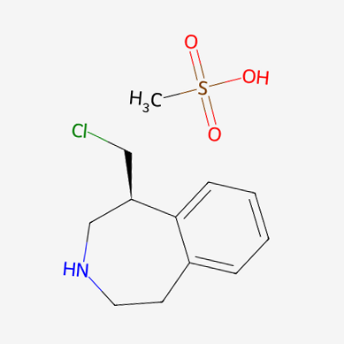 CS(=O)(=O)O.ClC[C@@H]1CNCCc2ccccc21